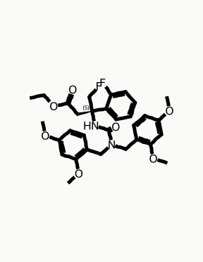 CCOC(=O)C[C@](CF)(NC(=O)N(Cc1ccc(OC)cc1OC)Cc1ccc(OC)cc1OC)c1ccccc1F